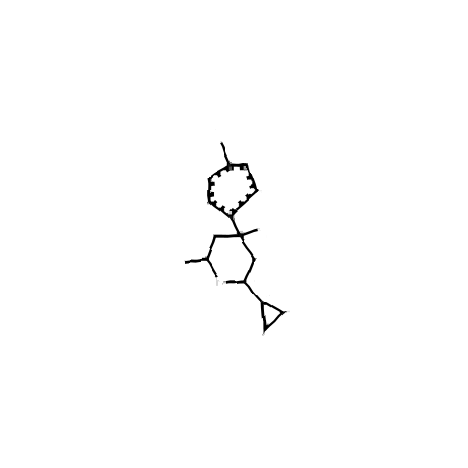 CC1CC(O)(c2ccc(C(F)(F)F)cc2)CC(C2CC2)N1